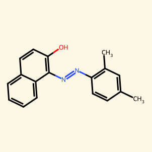 Cc1ccc(N=Nc2c(O)ccc3ccccc23)c(C)c1